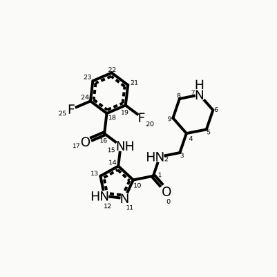 O=C(NCC1CCNCC1)c1n[nH]cc1NC(=O)c1c(F)cccc1F